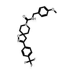 COc1ccc(CNC(=O)N2CCC3(CC2)CC(c2ccc(C(F)(F)F)cc2)=NO3)cc1